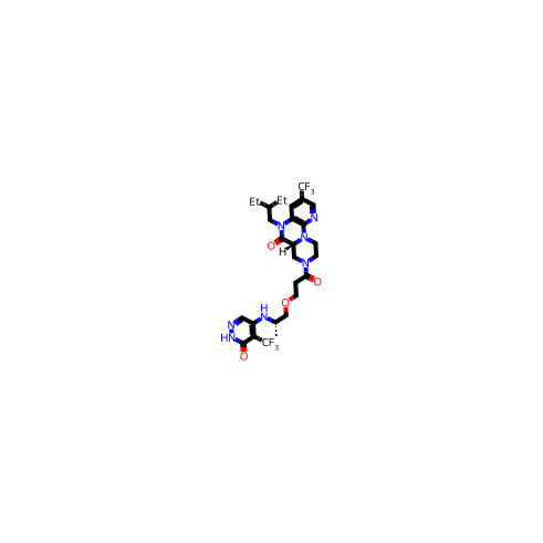 CCC(CC)CN1C(=O)[C@H]2CN(C(=O)CCOC[C@H](C)Nc3cn[nH]c(=O)c3C(F)(F)F)CCN2c2ncc(C(F)(F)F)cc21